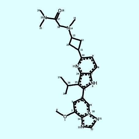 COc1cc(-c2[nH]c3ccc(C4CC(N(C)CC(=O)N(C)C)C4)nc3c2C(C)C)cn2ncnc12